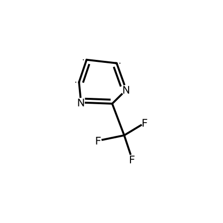 FC(F)(F)c1n[c][c][c]n1